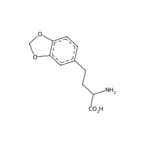 NC(CCc1ccc2c(c1)OCO2)C(=O)O